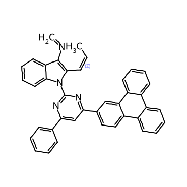 C=Nc1c(/C=C\C)n(-c2nc(-c3ccccc3)cc(-c3ccc4c5ccccc5c5ccccc5c4c3)n2)c2ccccc12